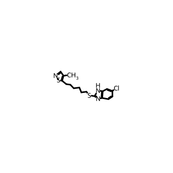 Cc1cnsc1CCCCCCSc1nc2ccc(Cl)cc2[nH]1